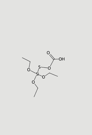 CCO[Si](OCC)(OCC)SOC(=O)O